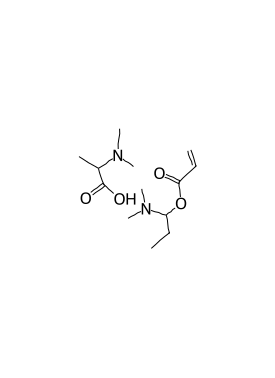 C=CC(=O)OC(CC)N(C)C.CC(C(=O)O)N(C)C